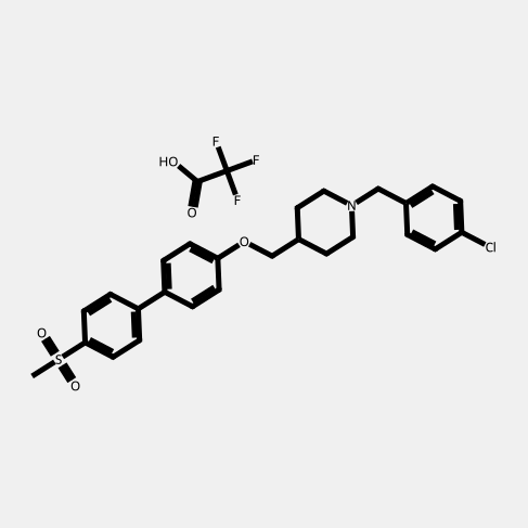 CS(=O)(=O)c1ccc(-c2ccc(OCC3CCN(Cc4ccc(Cl)cc4)CC3)cc2)cc1.O=C(O)C(F)(F)F